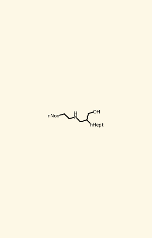 CCCCCCCCCCCNCC(CO)CCCCCCC